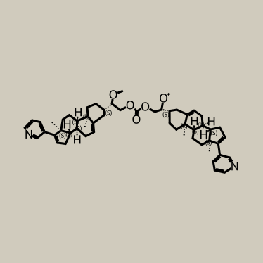 COC(COC(=O)OCC(OC)[C@H]1CC[C@@]2(C)C(=CC[C@@H]3[C@@H]2CC[C@]2(C)C(c4cccnc4)=CC[C@@H]32)C1)[C@H]1CC[C@@]2(C)C(=CC[C@@H]3[C@@H]2CC[C@]2(C)C(c4cccnc4)=CC[C@@H]32)C1